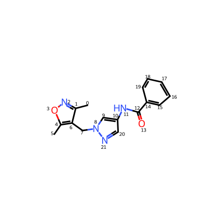 Cc1noc(C)c1Cn1cc(NC(=O)c2ccccc2)cn1